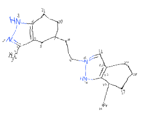 Cc1n[nH]c2c1CC(CC[n+]1cc3c([nH]1)C(C(C)C)CCC3)CC2